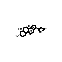 C[C@]12CC[C@H]3[C@@H](CC[C@]4(O)C[C@@H](O)CC[C@]34C=O)[C@@]1(O)CC[C@H]2C1=CC(=O)OC1